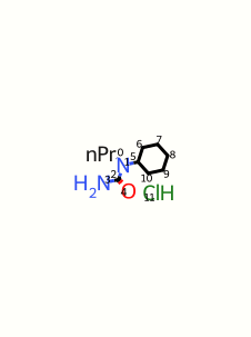 CCCN(C(N)=O)C1CCCCC1.Cl